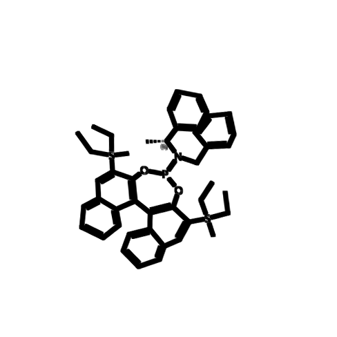 CCS(C)(CC)c1cc2ccccc2c2c1op(N(Cc1ccccc1)[C@H](C)c1ccccc1)oc1c(S(C)(CC)CC)cc3ccccc3c12